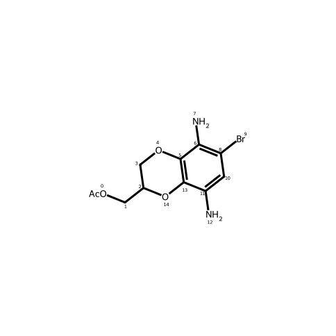 CC(=O)OCC1COc2c(N)c(Br)cc(N)c2O1